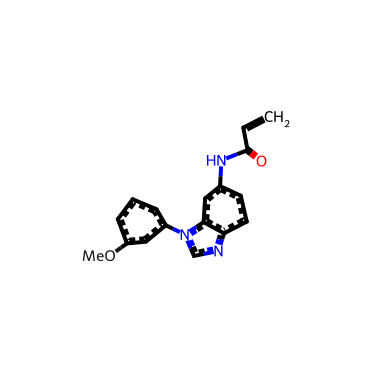 C=CC(=O)Nc1ccc2ncn(-c3cccc(OC)c3)c2c1